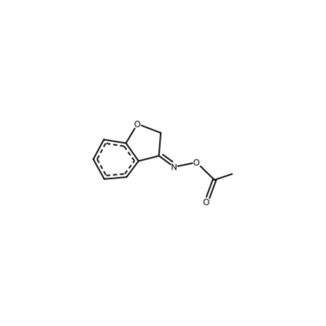 CC(=O)O/N=C1\COc2ccccc21